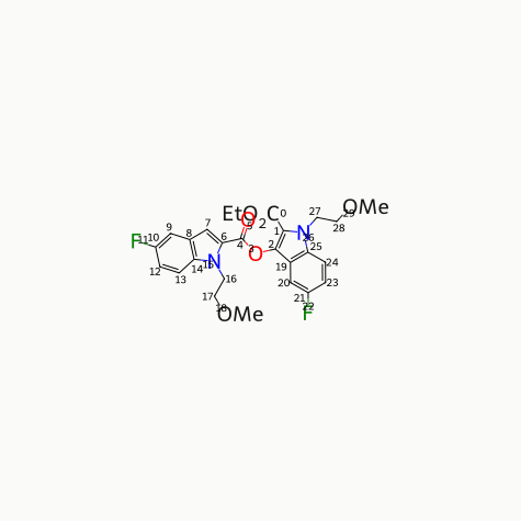 CCOC(=O)c1c(OC(=O)c2cc3cc(F)ccc3n2CCOC)c2cc(F)ccc2n1CCOC